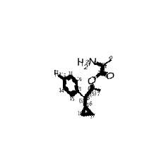 C[C@H](N)C(=O)O[C@@H](C)[C@H](c1ccc(F)cc1)C1CC1